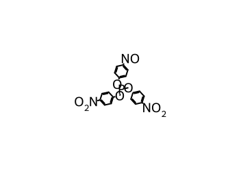 O=Nc1ccc(OP(Oc2ccc([N+](=O)[O-])cc2)Oc2ccc([N+](=O)[O-])cc2)cc1